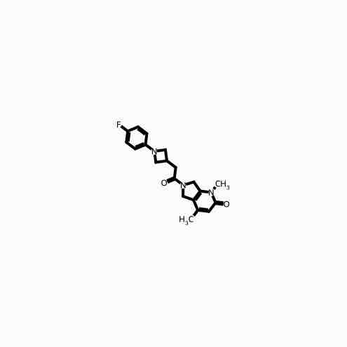 Cc1cc(=O)n(C)c2c1CN(C(=O)CC1CN(c3ccc(F)cc3)C1)C2